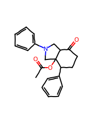 CC(=O)OC12CN(c3ccccc3)CC1C(=O)CCC2c1ccccc1